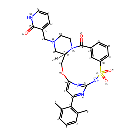 Cc1cccc(C)c1-c1cc2nc(n1)NS(=O)(=O)c1cccc(c1)C(=O)N1CCN(Cc3ccc[nH]c3=O)C[C@@H]1CO2